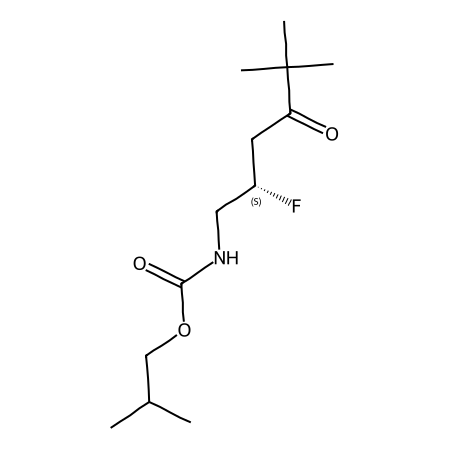 CC(C)COC(=O)NC[C@@H](F)CC(=O)C(C)(C)C